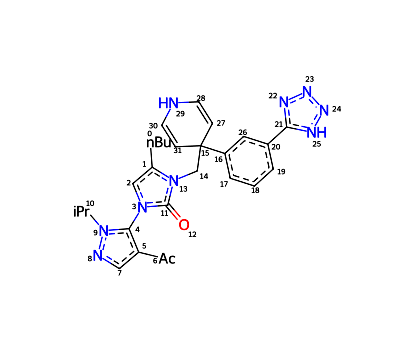 CCCCc1cn(-c2c(C(C)=O)cnn2C(C)C)c(=O)n1CC1(c2cccc(-c3nnn[nH]3)c2)C=CNC=C1